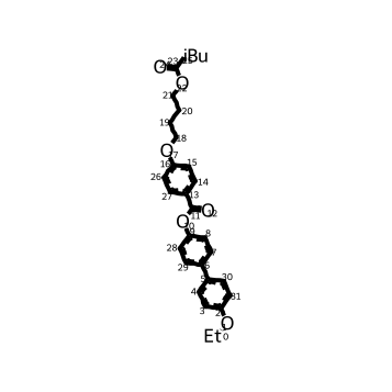 CCOc1ccc(-c2ccc(OC(=O)c3ccc(OCCCCOC(=O)C(C)CC)cc3)cc2)cc1